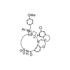 COc1ccc(CN(C(C)=O)[C@@H]2CCCCCS(=O)(=O)NC(=O)c3ccc4c(c3)N(C[C@@H]3CC[C@H]32)C[C@@]2(CCCc3cc(Cl)ccc32)CO4)cc1